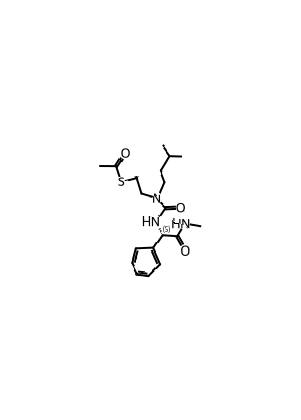 CNC(=O)[C@@H](NC(=O)N(CCSC(C)=O)CCC(C)C)c1ccccc1